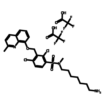 Cc1ccc2cccc(OCc3c(Cl)ccc(S(=O)(=O)N(C)CCCCCCCN)c3Cl)c2n1.O=C(O)C(F)(F)F.O=C(O)C(F)(F)F